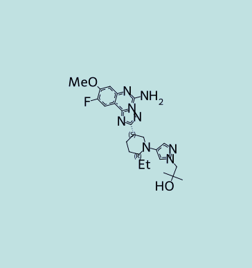 CC[C@@H]1CC[C@H](c2nc3c4cc(F)c(OC)cc4nc(N)n3n2)CN1c1cnn(CC(C)(C)O)c1